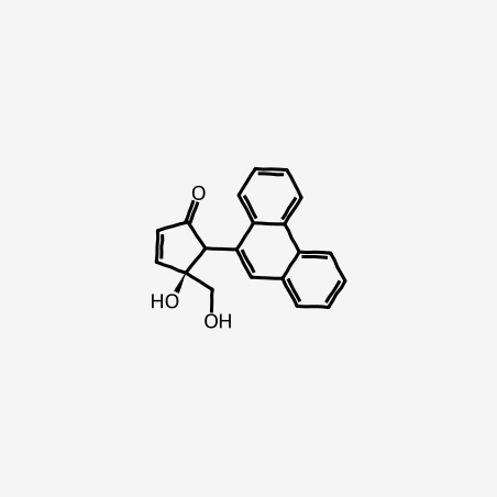 O=C1C=C[C@@](O)(CO)C1c1cc2ccccc2c2ccccc12